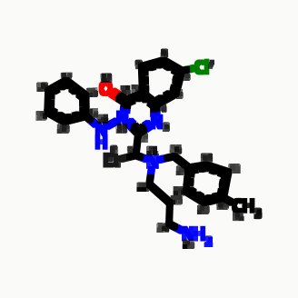 CCC(c1nc2cc(Cl)ccc2c(=O)n1Nc1ccccc1)N(CCCN)Cc1ccc(C)cc1